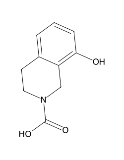 O=C(O)N1CCc2cccc(O)c2C1